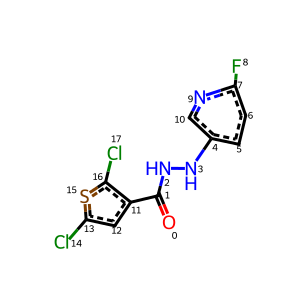 O=C(NNc1ccc(F)nc1)c1cc(Cl)sc1Cl